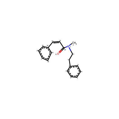 CN(CCc1ccccc1)C(=O)/C=C\c1ccccc1